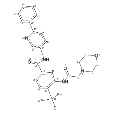 O=C(CN1CCOCC1)Nc1cc(C(=O)Nc2ccc(-c3ccccc3)nc2)ccc1C(F)(F)F